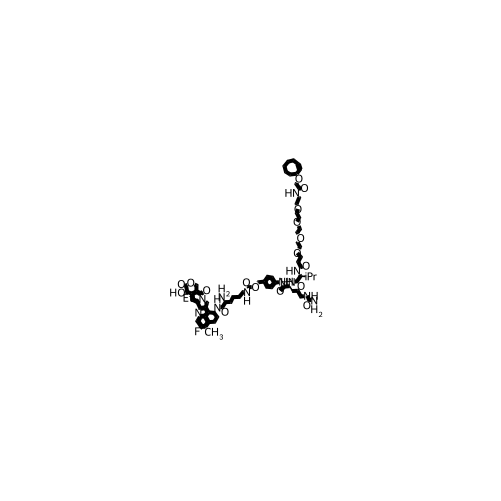 CC[C@@]1(O)C(=O)OCc2c1cc1n(c2=O)Cc2c-1nc1cc(F)c(C)c3c1c2[C@@H](NC(=O)[C@@H](N)CCCCNC(=O)OCc1ccc(NC(=O)[C@H](CCCNC(N)=O)NC(=O)[C@@H](NC(=O)CCOCCOCCOCCOCCNC(=O)COC2C#CCCCCC2)C(C)C)cc1)CC3